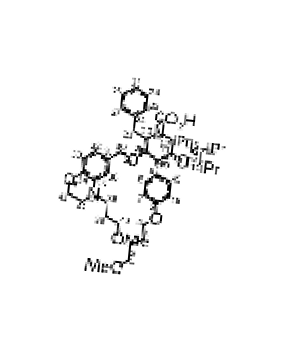 COCCCCOc1ccc([C@H]2[C@H](O[Si](C(C)C)(C(C)C)C(C)C)CN(C(=O)O)C(Cc3ccccc3)[C@@H]2OCc2ccc3c(c2)N(CCCOC)CCO3)cc1